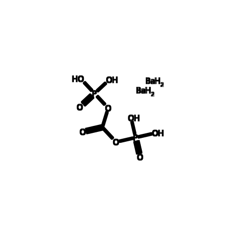 O=C(OP(=O)(O)O)OP(=O)(O)O.[BaH2].[BaH2]